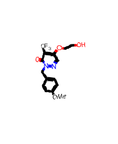 COc1ccc(Cn2ncc(OCCO)c(C(F)(F)F)c2=O)cc1